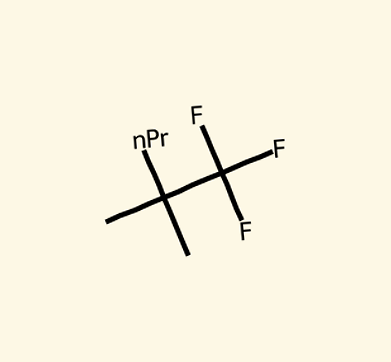 [CH2]CCC(C)(C)C(F)(F)F